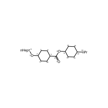 CCCCCCCOC1CCC(C(=O)OC2CCC(CCC)CC2)CC1